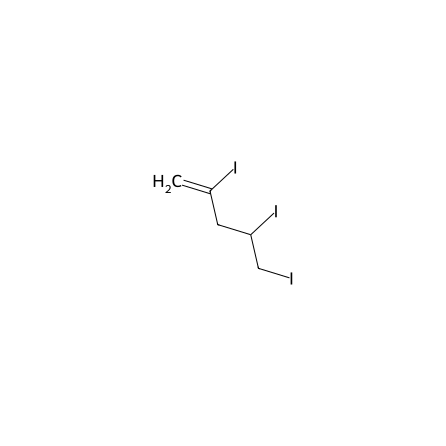 C=C(I)CC(I)CI